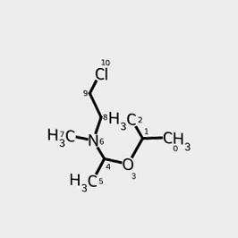 CC(C)OC(C)N(C)CCCl